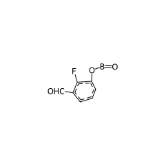 O=BOc1cccc(C=O)c1F